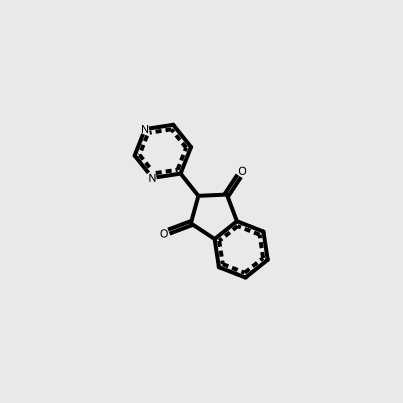 O=C1c2ccccc2C(=O)C1c1ccncn1